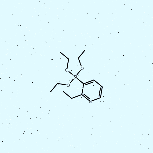 CCO[Si](OCC)(OCC)c1cccnc1CC